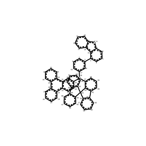 c1cc(-c2cccc3sc4ccccc4c23)cc(N(c2ccc3c4ccccc4c4ccccc4c3c2)c2cccc3c2C2(c4ccccc4-c4ccccc42)c2ccccc2-3)c1